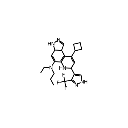 CCCN(CC)C1=CC2NN=CC2C2=C1NC(c1c[nH]nc1C(F)(F)F)C=C2C1CCC1